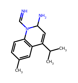 Cc1ccc2c(c1)C(C(C)C)=CC(N)N2C=N